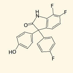 O=C1Nc2c(ccc(F)c2F)C1(c1ccc(O)cc1)c1ccc(F)cc1